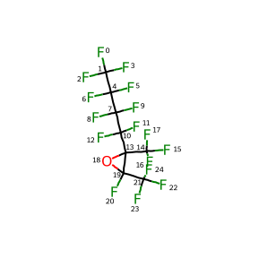 FC(F)(F)C(F)(F)C(F)(F)C(F)(F)C1(C(F)(F)F)OC1(F)C(F)(F)F